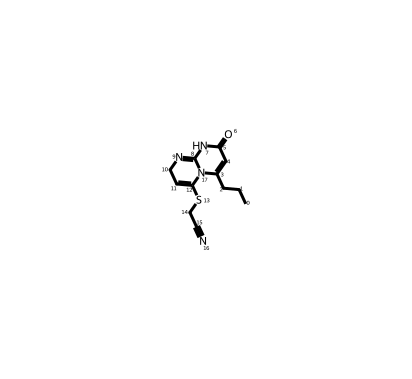 CCCC1=CC(=O)NC2=NCC=C(SCC#N)N12